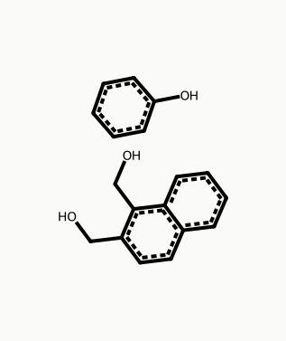 OCc1ccc2ccccc2c1CO.Oc1ccccc1